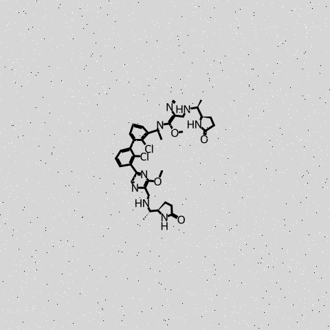 C=N/C(CN[C@@H](C)[C@H]1CCC(=O)N1)=C(\N=C(/C)c1cccc(-c2cccc(-c3cnc(CN[C@@H](C)[C@H]4CCC(=O)N4)c(OC)n3)c2Cl)c1Cl)OC